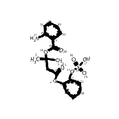 CC(C)(CC(=O)Oc1ccccc1OS(=O)(=O)O)OC(=O)c1ccccc1N